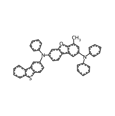 Cc1cc(N(c2ccccc2)c2ccccc2)cc2c1oc1cc(N(c3ccccc3)c3ccc4sc5ccccc5c4c3)ccc12